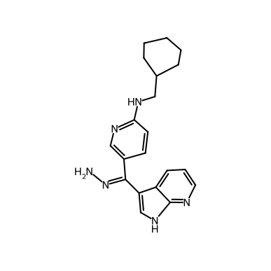 N/N=C(\c1ccc(NCC2CCCCC2)nc1)c1c[nH]c2ncccc12